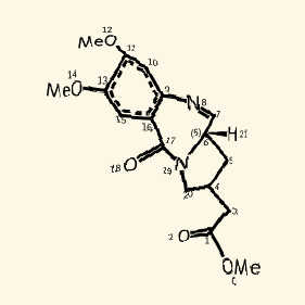 COC(=O)CC1C[C@H]2C=Nc3cc(OC)c(OC)cc3C(=O)N2C1